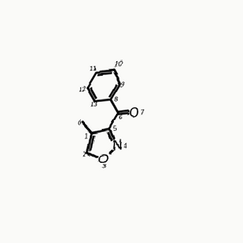 Cc1conc1C(=O)c1ccccc1